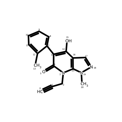 C#CCn1c(=O)c(-c2ccccc2C)c(O)c2cnn(C)c21